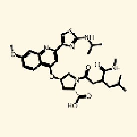 CNC(=O)C(CC(=O)N1C[C@H](Oc2cc(-c3csc(NC(C)C)n3)nc3cc(OC)ccc23)C[C@H]1C(=O)O)CC(C)C